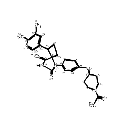 CCC(=O)N1CCC(Oc2ccc(N3C(=S)NC(=O)C34CCC4c3cnc(C#N)c(C(F)(F)F)c3)cc2)CC1